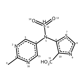 Cc1ncc(N(c2scnc2C(=O)O)[SH](=O)=O)cn1